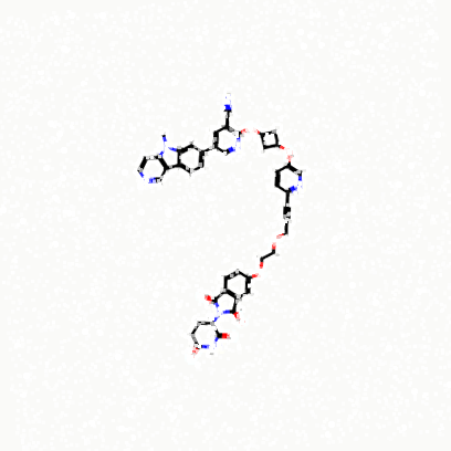 Cn1c2ccncc2c2ccc(-c3cnc(OC4CC(Oc5ccc(C#CCOCCOc6ccc7c(c6)C(=O)N(C6CCC(=O)NC6=O)C7=O)nc5)C4)c(C#N)c3)cc21